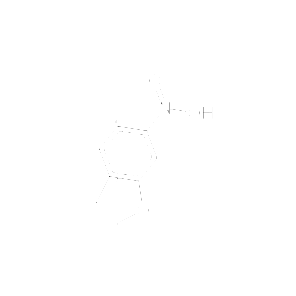 O=[N+](O)c1ccc2c(c1)OCC2